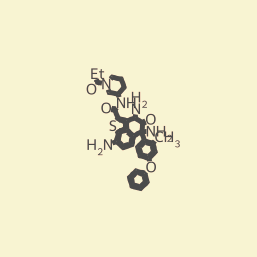 CCC(=O)N1CCCC(NC(=O)c2sc3c(N)ccc4c3c2C(N)C(=O)C4(N)c2ccc(Oc3ccccc3)cc2C)C1